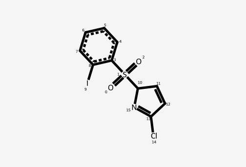 O=S(=O)(c1ccccc1I)C1C=CC(Cl)=N1